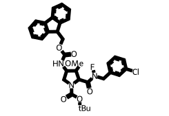 COC1C(NC(=O)OCC2c3ccccc3-c3ccccc32)CN(C(=O)OC(C)(C)C)C1C(=O)N(F)Cc1cccc(Cl)c1